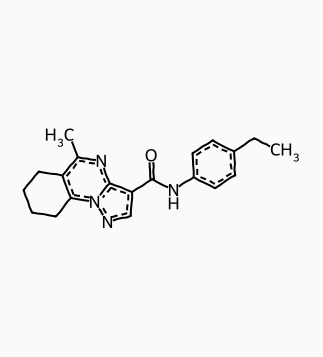 CCc1ccc(NC(=O)c2cnn3c4c(c(C)nc23)CCCC4)cc1